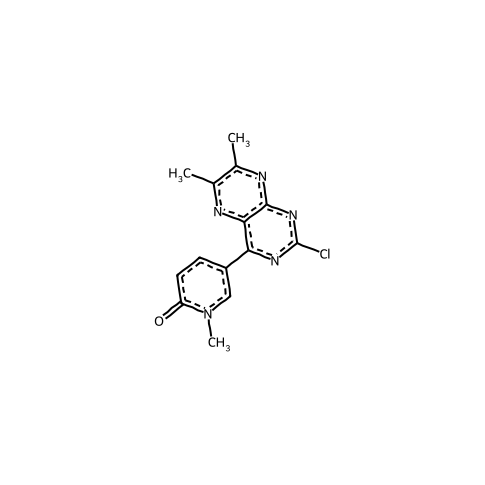 Cc1nc2nc(Cl)nc(-c3ccc(=O)n(C)c3)c2nc1C